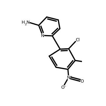 Cc1c([N+](=O)[O-])ccc(-c2cccc(N)n2)c1Cl